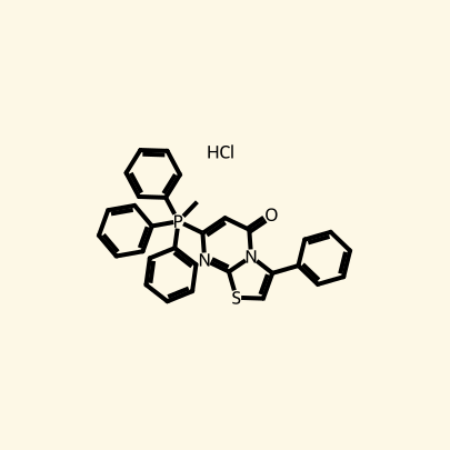 CP(c1ccccc1)(c1ccccc1)(c1ccccc1)c1cc(=O)n2c(-c3ccccc3)csc2n1.Cl